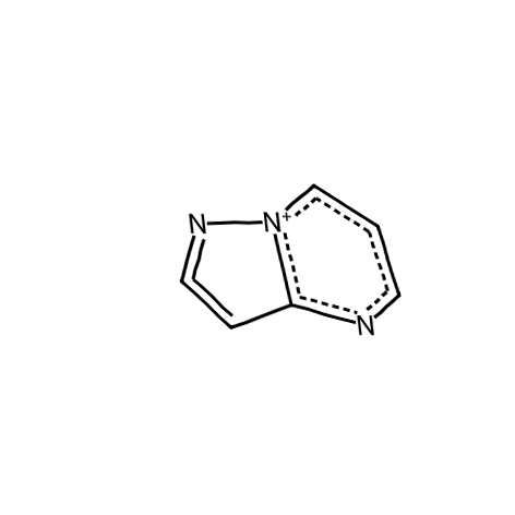 C1=Cc2nccc[n+]2N=1